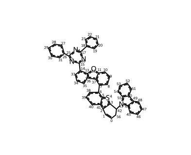 C1=Cc2c(sc3c(-c4cccc5oc6c(-c7nc(-c8ccccc8)nc(-c8ccccc8)n7)cccc6c45)cccc23)C(n2c3ccccc3c3ccccc32)C1